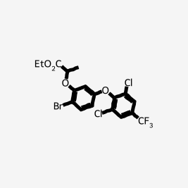 CCOC(=O)C(C)Oc1cc(Oc2c(Cl)cc(C(F)(F)F)cc2Cl)ccc1Br